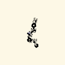 C=NN(Cc1ccnc(NCCN2CCCC2)c1)/C(C)=N\Cc1nc(-c2ccc(OC(F)(F)F)cc2)no1